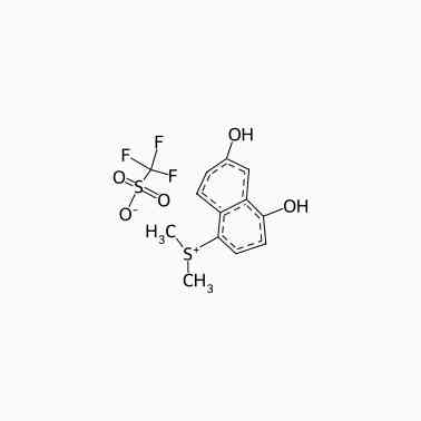 C[S+](C)c1ccc(O)c2cc(O)ccc12.O=S(=O)([O-])C(F)(F)F